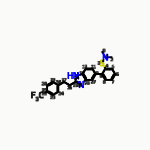 CN(C)Sc1ccccc1-c1ccc2[nH]c(CCc3ccc(C(F)(F)F)cc3)nc2c1